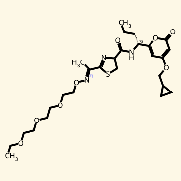 CCC[C@@H](NC(=O)C1CSC(/C(C)=N/OCCOCCOCCOCC)=N1)c1cc(OCC2CC2)cc(=O)o1